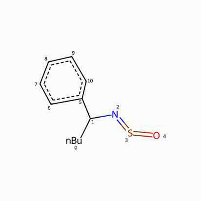 CCCCC(N=S=O)c1ccccc1